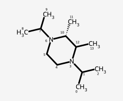 CC(C)N1CCN(C(C)C)[C@H](C)C1C